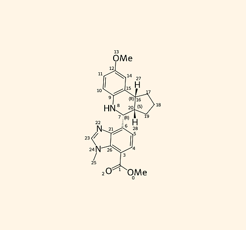 COC(=O)c1ccc([C@@H]2Nc3ccc(OC)cc3[C@@H]3CCC[C@@H]32)c2ncn(C)c12